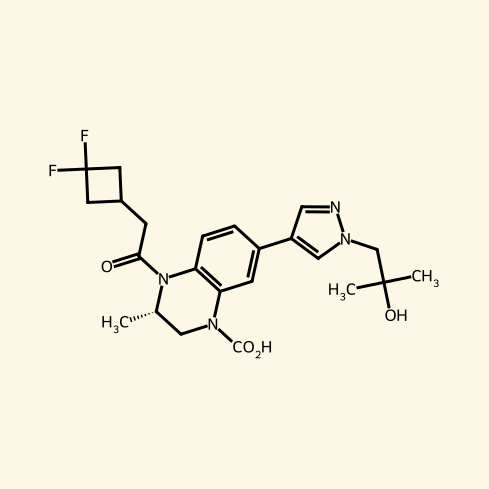 C[C@H]1CN(C(=O)O)c2cc(-c3cnn(CC(C)(C)O)c3)ccc2N1C(=O)CC1CC(F)(F)C1